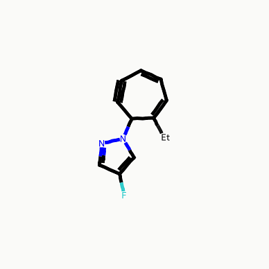 CCC1=CC=CC#CC1n1cc(F)cn1